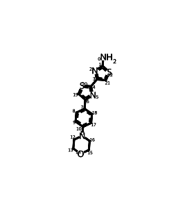 Nc1nc(-c2nc(-c3ccc(N4CCOCC4)cc3)cs2)cs1